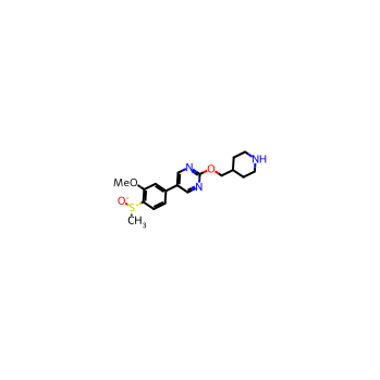 COc1cc(-c2cnc(OCC3CCNCC3)nc2)ccc1[S@+](C)[O-]